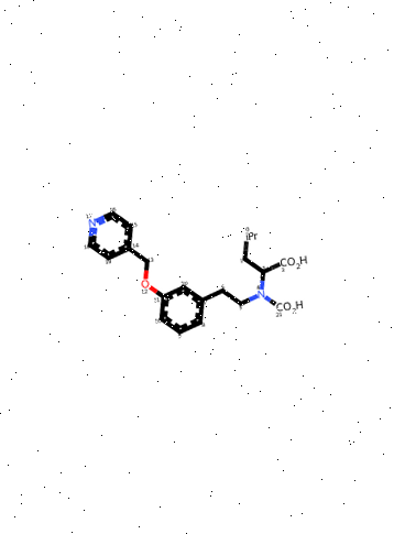 CC(C)CC(C(=O)O)N(CCc1cccc(OCc2ccncc2)c1)C(=O)O